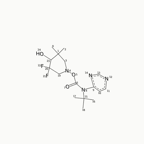 CC1(C)CN(OC(=O)N(c2ccncn2)C(C)(C)C)CC(F)(F)C1O